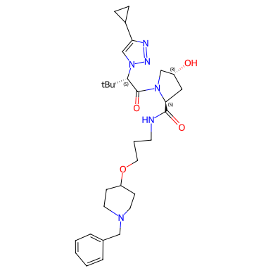 CC(C)(C)[C@@H](C(=O)N1C[C@H](O)C[C@H]1C(=O)NCCCOC1CCN(Cc2ccccc2)CC1)n1cc(C2CC2)nn1